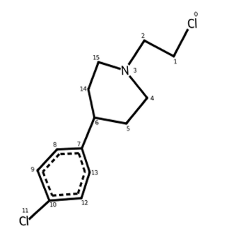 ClCCN1CCC(c2ccc(Cl)cc2)CC1